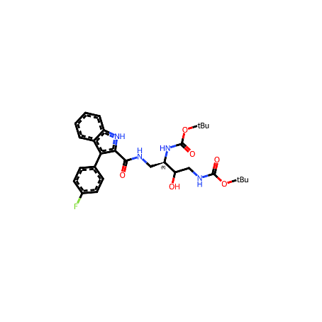 CC(C)(C)OC(=O)NCC(O)[C@@H](CNC(=O)c1[nH]c2ccccc2c1-c1ccc(F)cc1)NC(=O)OC(C)(C)C